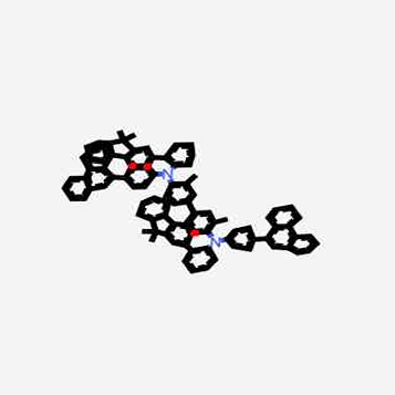 Cc1cc(-c2ccc(N(c3ccc(-c4cc5ccccc5c5ccccc45)cc3)c3ccccc3-c3ccc4c(c3)C(C)(C)c3ccccc3-4)c(C)c2)ccc1N(c1ccc(-c2cc3ccccc3c3ccccc23)cc1)c1ccccc1-c1ccc2c(c1)C(C)(C)c1ccccc1-2